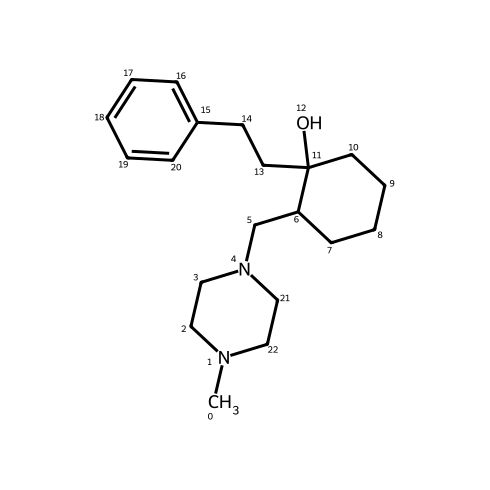 CN1CCN(CC2CCCCC2(O)CCc2ccccc2)CC1